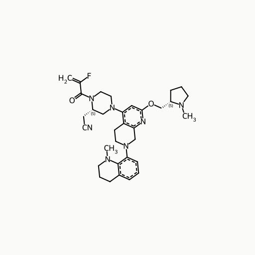 C=C(F)C(=O)N1CCN(c2cc(OC[C@@H]3CCCN3C)nc3c2CCN(c2cccc4c2N(C)CCC4)C3)C[C@@H]1CC#N